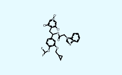 O=C(Cn1cnc2ccccc21)OC(Cc1c(Cl)c[n+]([O-])cc1Cl)c1ccc(OC(F)F)c(OCC2CC2)c1